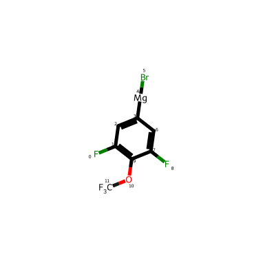 Fc1c[c]([Mg][Br])cc(F)c1OC(F)(F)F